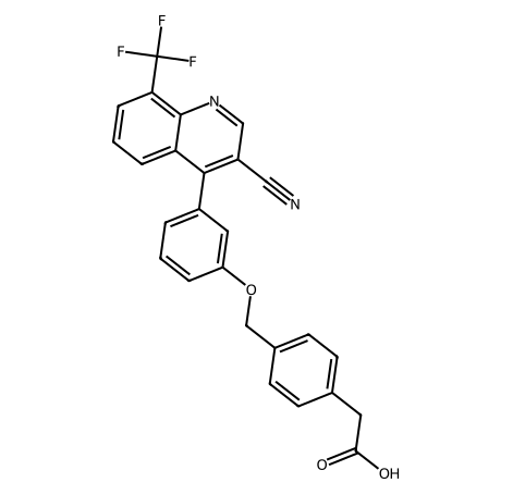 N#Cc1cnc2c(C(F)(F)F)cccc2c1-c1cccc(OCc2ccc(CC(=O)O)cc2)c1